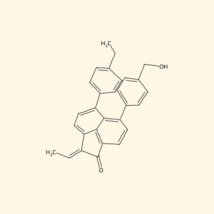 CC=c1c(=O)c2ccc(-c3ccc(CO)cc3)c3c(-c4ccc(CC)cc4)ccc1c32